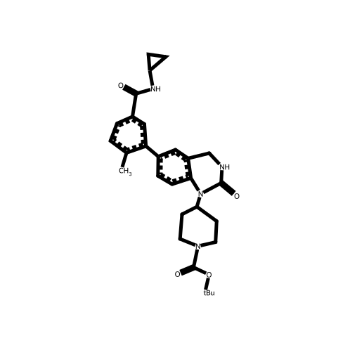 Cc1ccc(C(=O)NC2CC2)cc1-c1ccc2c(c1)CNC(=O)N2C1CCN(C(=O)OC(C)(C)C)CC1